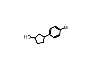 OC1CCC(c2ccc(Br)cc2)C1